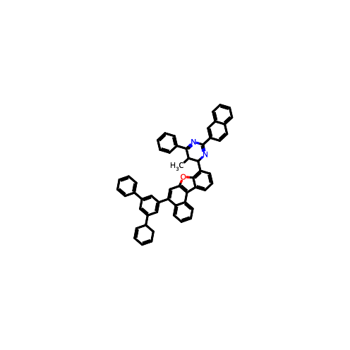 CC1C(c2ccccc2)=NC(c2ccc3ccccc3c2)=NC1c1cccc2c1oc1cc(-c3cc(-c4ccccc4)cc(C4C=CC=CC4)c3)c3ccccc3c12